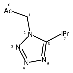 CC(=O)Cn1nnnc1C(C)C